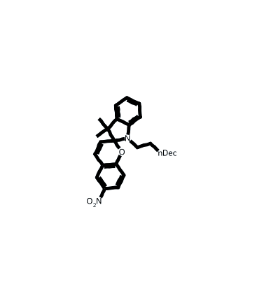 CCCCCCCCCCCCN1c2ccccc2C(C)(C)C12C=Cc1cc([N+](=O)[O-])ccc1O2